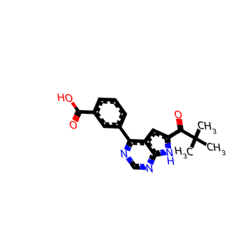 CC(C)(C)C(=O)c1cc2c(-c3cccc(C(=O)O)c3)ncnc2[nH]1